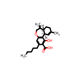 C=C1COc2cc(CCCCC)c(C(=O)O)c(O)c2[C@@H]2C=C(C)CC[C@@H]12